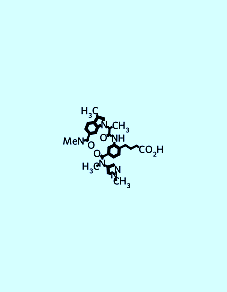 CNC(=O)c1ccc2c(C)cn(C(C)C(=O)Nc3cc(C(=O)N(C)c4cnn(C)c4)ccc3CCCC(=O)O)c2c1